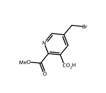 COC(=O)c1ncc(CBr)cc1C(=O)O